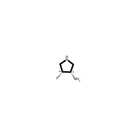 N[C@H]1CNC[C@H]1F